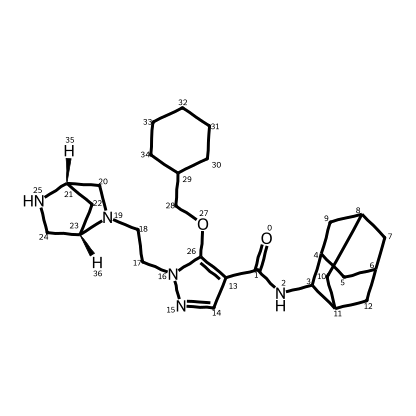 O=C(NC1C2CC3CC(C2)CC1C3)c1cnn(CCN2C[C@@H]3C[C@H]2CN3)c1OCC1CCCCC1